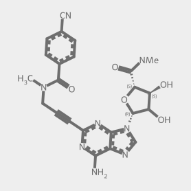 CNC(=O)[C@H]1O[C@@H](n2cnc3c(N)nc(C#CCN(C)C(=O)c4ccc(C#N)cc4)nc32)C(O)[C@@H]1O